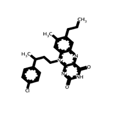 CCCc1cc2nc3c(=O)[nH]c(=O)nc-3n(CCC(C)c3ccc(Cl)cc3)c2cc1C